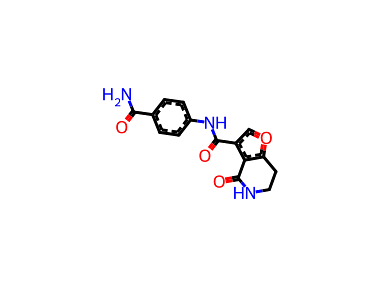 NC(=O)c1ccc(NC(=O)c2coc3c2C(=O)NCC3)cc1